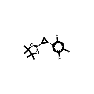 CC1(C)OB([C@H]2C[C@@H]2c2cc(F)c(F)cc2F)OC1(C)C